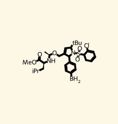 Bc1ccc(C2C(CO[C@H](C)N[C@@H](CC(C)C)C(=O)OC)=CC(C(C)(C)C)N2S(=O)(=O)C2CC=CC=C2Cl)cc1